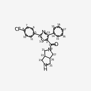 O=C(c1sc(-c2ccc(Cl)cc2)nc1-c1ccccc1)N1CC2CNCC2C1